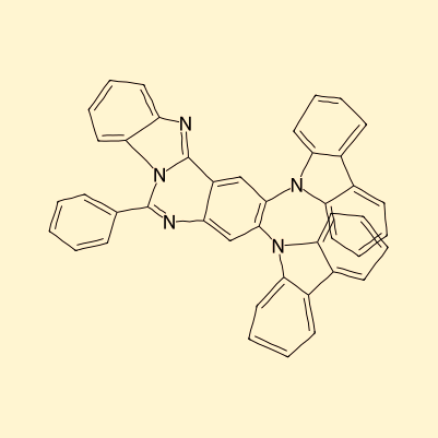 c1ccc(-c2nc3cc(-n4c5ccccc5c5ccccc54)c(-n4c5ccccc5c5ccccc54)cc3c3nc4ccccc4n23)cc1